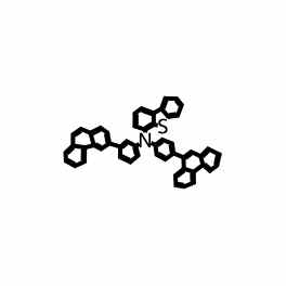 c1cc(-c2ccc3ccc4ccccc4c3c2)cc(N(c2ccc(-c3cc4ccccc4c4ccccc34)cc2)c2cccc3c2sc2ccccc23)c1